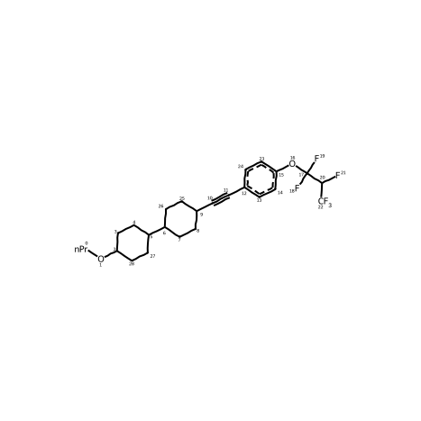 CCCOC1CCC(C2CCC(C#Cc3ccc(OC(F)(F)C(F)C(F)(F)F)cc3)CC2)CC1